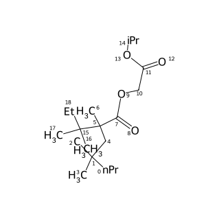 CCCC(C)(C)CC(C)(C(=O)OCC(=O)OC(C)C)C(C)(C)CC